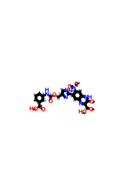 O=C(Nc1cccc(C(=O)O)c1)OCc1c[nH]c(-c2cc3nc(C(=O)O)c(=O)[nH]c3cc2[N+](=O)[O-])n1